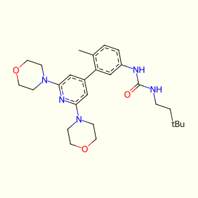 Cc1ccc(NC(=O)NCCC(C)(C)C)cc1-c1cc(N2CCOCC2)nc(N2CCOCC2)c1